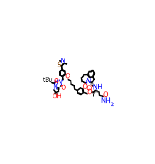 Cc1ncsc1-c1ccc(CNC(=O)[C@@H]2C[C@@H](O)CN2C(=O)CC(C)(C)C)c(OCCCCCc2ccc(CO[C@H](C)[C@H](CCC(N)=O)NC(=O)[C@@H]3Cc4cccc5c4N3C(=O)CCC5)cc2)c1